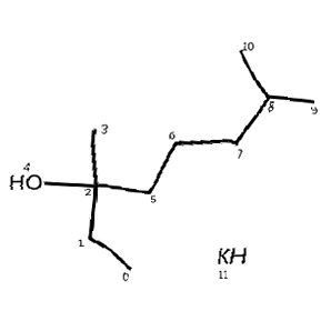 CCC(C)(O)CCCC(C)C.[KH]